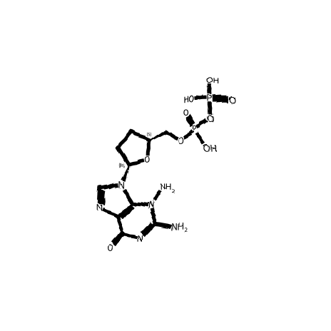 Nc1nc(=O)c2ncn([C@H]3CC[C@@H](COP(=O)(O)OP(=O)(O)O)O3)c2n1N